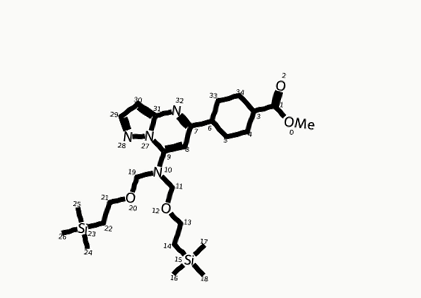 COC(=O)C1CCC(c2cc(N(COCC[Si](C)(C)C)COCC[Si](C)(C)C)n3nccc3n2)CC1